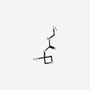 CCNC(=O)OC1(C)COC1